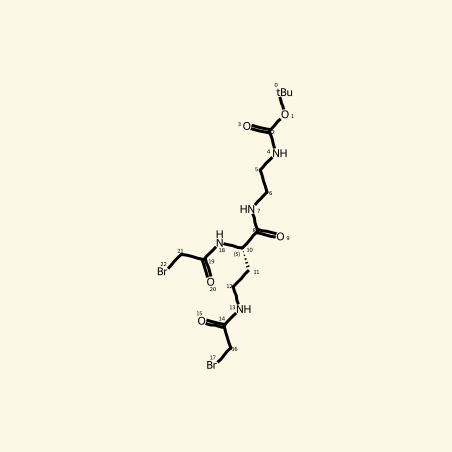 CC(C)(C)OC(=O)NCCNC(=O)[C@H](CCNC(=O)CBr)NC(=O)CBr